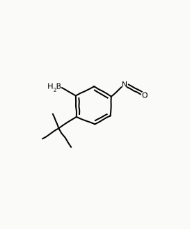 Bc1cc(N=O)ccc1C(C)(C)C